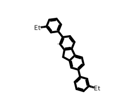 CCc1cccc(-c2[c]c3c(cc2)-c2ccc(-c4cccc(CC)c4)cc2C3)c1